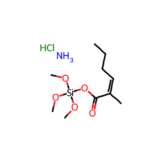 CCCC=C(C)C(=O)O[Si](OC)(OC)OC.Cl.N